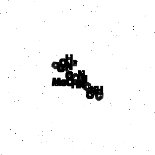 COc1cc2c(Nc3ccc(NC(=O)c4ccccc4)cc3)ncnc2cc1OCCC(N)C(=O)OC1CCCC1